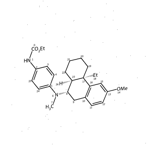 CCOC(=O)Nc1ccc(N(C)[C@H]2Cc3ccc(OC)cc3[C@]3(CC)CCCC[C@H]23)cc1